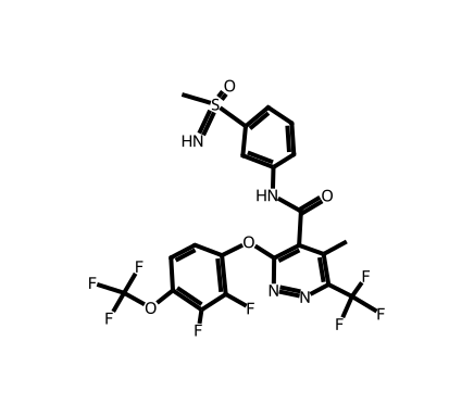 Cc1c(C(F)(F)F)nnc(Oc2ccc(OC(F)(F)F)c(F)c2F)c1C(=O)Nc1cccc(S(C)(=N)=O)c1